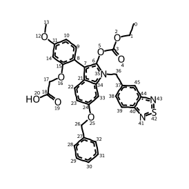 CCOC(=O)Oc1c(-c2ccc(OC)cc2OCC(=O)O)c2ccc(OCc3ccccc3)cc2n1Cc1ccc2nsnc2c1